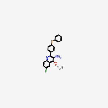 Nc1c(-c2ccc(Sc3ccccc3)cc2)nc2ccc(F)cc2c1OC(=O)O